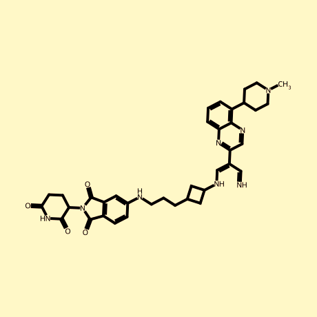 CN1CCC(c2cccc3nc(/C(C=N)=C/NC4CC(CCCNc5ccc6c(c5)C(=O)N(C5CCC(=O)NC5=O)C6=O)C4)cnc23)CC1